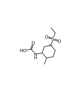 CCS(=O)(=O)N1CCC(C)C(NC(=O)O)C1